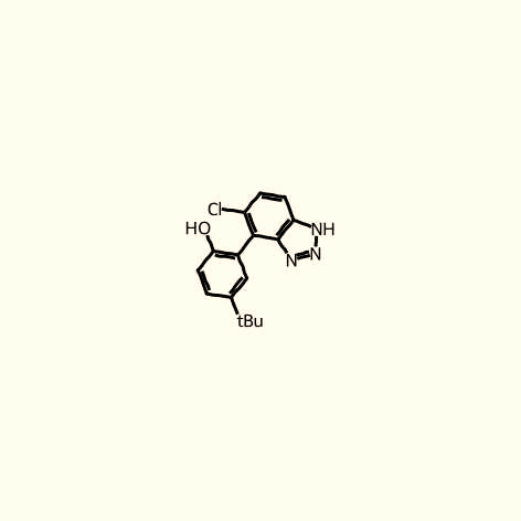 CC(C)(C)c1ccc(O)c(-c2c(Cl)ccc3[nH]nnc23)c1